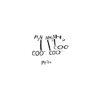 NC(=O)[O-].NC(=O)[O-].NC(=O)[O-].[Pr+3]